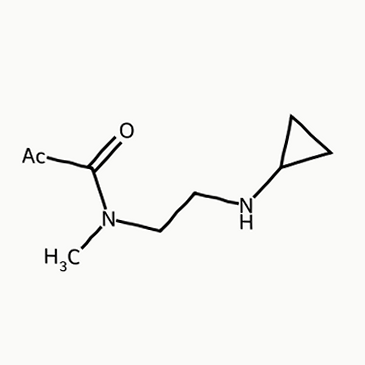 CC(=O)C(=O)N(C)CCNC1CC1